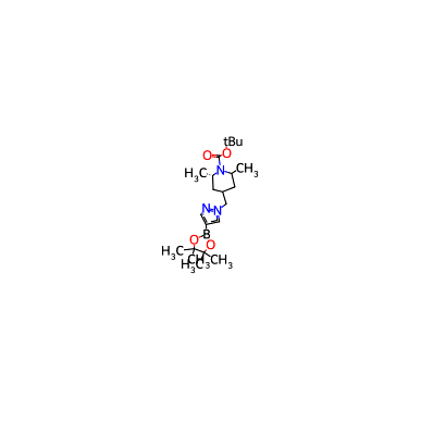 CC1CC(Cn2cc(B3OC(C)(C)C(C)(C)O3)cn2)C[C@H](C)N1C(=O)OC(C)(C)C